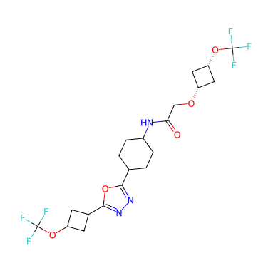 O=C(CO[C@H]1C[C@@H](OC(F)(F)F)C1)NC1CCC(c2nnc(C3CC(OC(F)(F)F)C3)o2)CC1